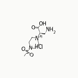 CS(=O)(=O)N1CCN([C@H](CN)C(=O)O)CC1.Cl